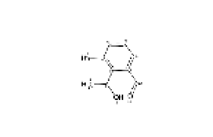 CC(O)c1c(S)cccc1C=O